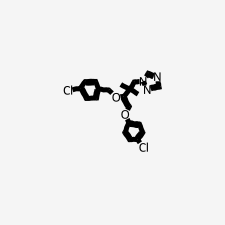 CC(C)(Cn1cncn1)C(=COc1ccc(Cl)cc1)OCc1ccc(Cl)cc1